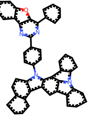 c1ccc(-c2nc(-c3ccc(-n4c5ccc6ccccc6c5c5cc6c7ccccc7n7c8ccccc8c(c54)c67)cc3)nc3c2oc2ccccc23)cc1